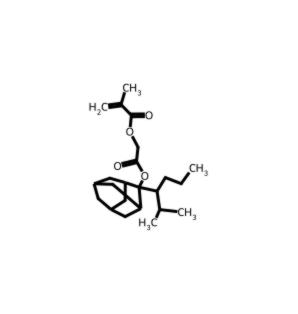 C=C(C)C(=O)OCC(=O)OC1(C(CCC)C(C)C)C2CC3CC(C2)CC1C3